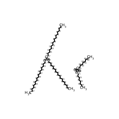 CCCCCCCCCCCCCCCCCC[O][Ti+]([O]CCCCCCCCCCCCCCCCCC)[O]CCCCCCCCCCCCCCCCCC.CCCCCCCCOP(=O)([O-])OCCCCCCCC